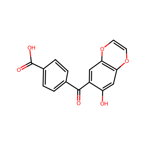 O=C(O)c1ccc(C(=O)c2cc3c(cc2O)OC=CO3)cc1